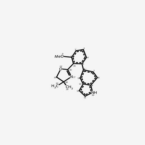 COc1cccc(-c2ccc3[nH]ccc3c2)c1C1=NC(C)(C)CO1